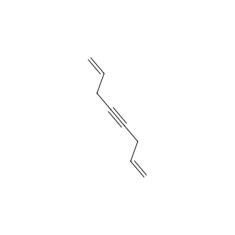 C=CCC#CCC=C